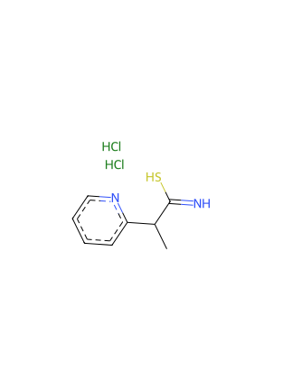 CC(C(=N)S)c1ccccn1.Cl.Cl